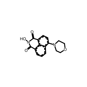 O=C1c2cccc3c(N4CCOCC4)ccc(c23)C(=O)N1O